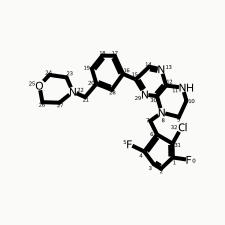 Fc1ccc(F)c(CN2CCNc3ncc(-c4cccc(CN5CCOCC5)c4)nc32)c1Cl